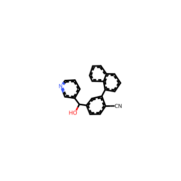 N#Cc1ccc(C(O)c2cccnc2)cc1-c1cccc2ccccc12